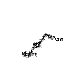 [CH2]c1cc(OCCCCCCCC/C=C\C/C=C\CCCCC)c(C)cc1OCCCCCCCC/C=C\C/C=C\CCCCC